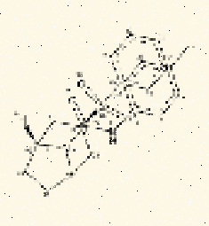 Cc1ccc(NC(=O)N2C3CC[C@@H]2C[C@@H](S(=O)(=O)c2ccccc2)C3)cc1